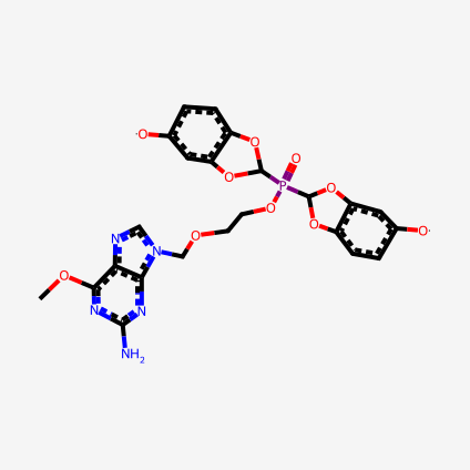 COc1nc(N)nc2c1ncn2COCCOP(=O)(C1Oc2ccc([O])cc2O1)C1Oc2ccc([O])cc2O1